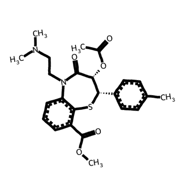 COC(=O)c1cccc2c1S[C@@H](c1ccc(C)cc1)[C@@H](OC(C)=O)C(=O)N2CCN(C)C